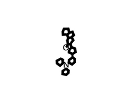 c1ccc(N(c2ccccc2)c2cccc(-c3ccc4c(c3)oc3cc5c(ccc6ccccc65)cc34)c2)cc1